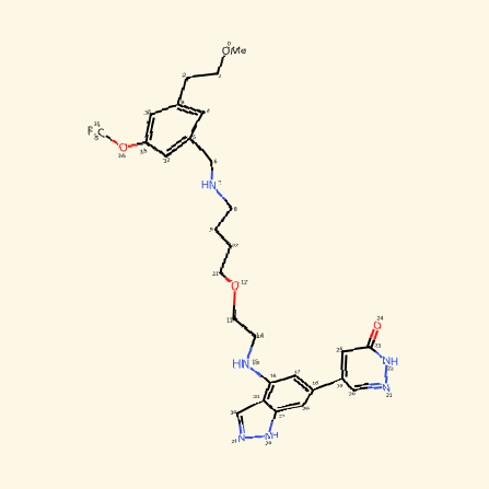 COCCc1cc(CNCCCCOCCNc2cc(-c3cn[nH]c(=O)c3)cc3[nH]ncc23)cc(OC(F)(F)F)c1